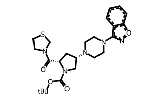 CC(C)(C)OC(=O)N1C[C@@H](N2CCN(c3noc4ccccc34)CC2)C[C@H]1C(=O)N1CCSC1